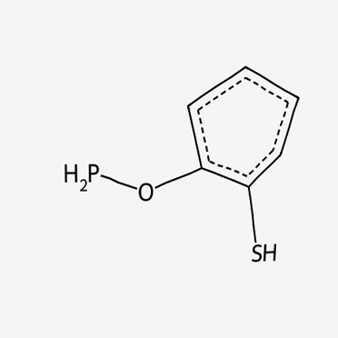 POc1ccccc1S